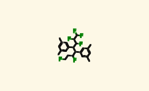 Cc1cc(C)cc(C(C(F)CCF)C(c2cc(C)cc(C)c2)C(F)C(F)C(F)F)c1